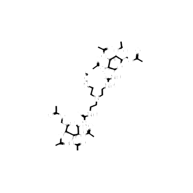 CC(=O)OC[C@H]1O[C@H](NC(=S)NCCN(CCN=C=S)CCNC(=S)N[C@H]2O[C@H](COC(C)=O)[C@@H](OC(C)=O)[C@H](OC(C)=O)[C@@H]2OC(C)=O)[C@@H](OC(C)=O)[C@@H](OC(C)=O)[C@@H]1OC(C)=O